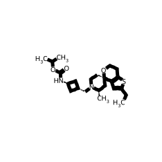 CCc1cc2c(s1)CCO[C@@]21CCN(C[C@H]2C[C@@H](NC(=O)OC(C)C)C2)[C@@H](C)C1